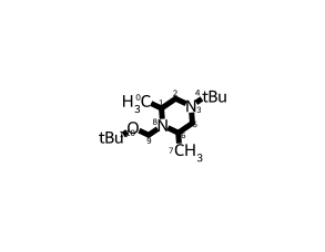 CC1CN(C(C)(C)C)CC(C)N1COC(C)(C)C